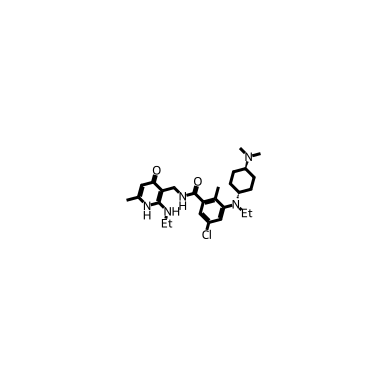 CCNc1[nH]c(C)cc(=O)c1CNC(=O)c1cc(Cl)cc(N(CC)[C@H]2CC[C@H](N(C)C)CC2)c1C